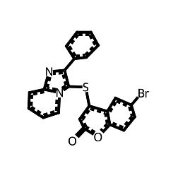 O=c1cc(Sc2c(-c3ccccc3)nc3ccccn23)c2cc(Br)ccc2o1